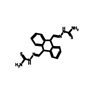 NC(=S)NN=CC1c2ccccc2C(C=NNC(N)=S)c2ccccc21